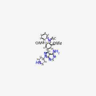 COc1ccccc1N(C(C)=O)c1ccc(-c2nn(C3CCNCC3)c3ncnc(N)c23)cc1OC